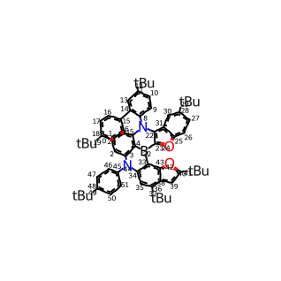 Cc1cc2c3c(c1)N(c1ccc(C(C)(C)C)cc1-c1ccc(C(C)(C)C)cc1)c1c(oc4ccc(C(C)(C)C)cc14)B3c1c(cc(C(C)(C)C)c3cc(C(C)(C)C)oc13)N2c1ccc(C(C)(C)C)cc1